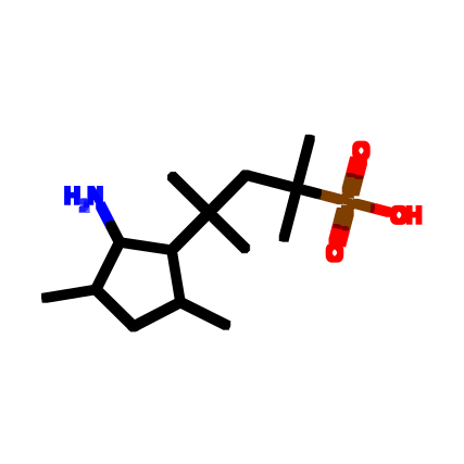 CC1CC(C)C(C(C)(C)CC(C)(C)S(=O)(=O)O)C1N